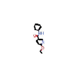 CCOc1ccc(C(=O)Nc2ccccc2)cn1